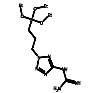 CCO[Si](CCCn1nnc(NC(=N)N)n1)(OCC)OCC